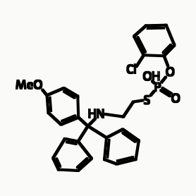 COc1ccc(C(NCCSP(=O)(O)Oc2ccccc2Cl)(c2ccccc2)c2ccccc2)cc1